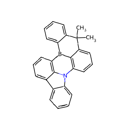 CC1(C)c2ccccc2B2c3c(cccc31)-n1c3ccccc3c3cccc2c31